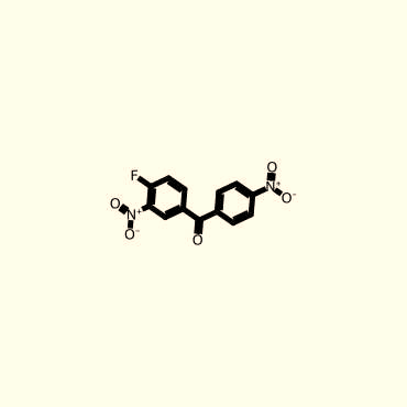 O=C(c1ccc([N+](=O)[O-])cc1)c1ccc(F)c([N+](=O)[O-])c1